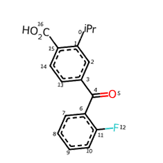 CC(C)c1cc(C(=O)c2ccccc2F)ccc1C(=O)O